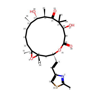 Cc1nc(C=C[C@@H]2C[C@@H]3O[C@@]3(C)CCC[C@H](C)[C@H](O)[C@@H](C)C(=O)C(C)(C)[C@@H](O)CC(=O)O2)cs1